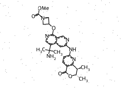 COC(=O)N1CC(Oc2ncc(C(C)(C)N)c3cc(Nc4ccc5c(n4)[C@@H](C)[C@H](C)OC5=O)ncc23)C1